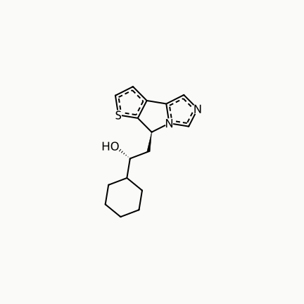 O[C@H](C[C@H]1c2sccc2-c2cncn21)C1CCCCC1